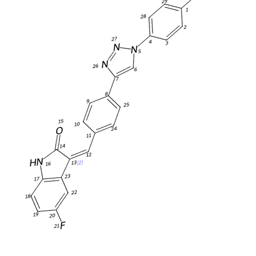 Cc1ccc(-n2cc(-c3ccc(/C=C4\C(=O)Nc5ccc(F)cc54)cc3)nn2)cc1